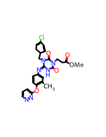 COC(=O)CCn1c(=O)[nH]/c(=N\c2ccc(Oc3cccnn3)c(C)c2)n(CC2C=CC(Cl)=CC2)c1=O